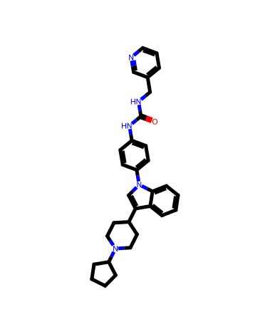 O=C(NCc1cccnc1)Nc1ccc(-n2cc(C3CCN(C4CCCC4)CC3)c3ccccc32)cc1